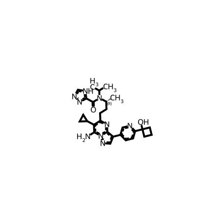 CC(C)N(C(=O)c1nnc[nH]1)[C@H](C)CCc1nc2c(-c3ccc(C4(O)CCC4)nc3)cnn2c(N)c1C1CC1